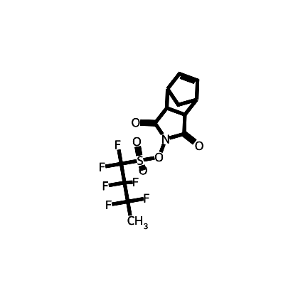 CC(F)(F)C(F)(F)C(F)(F)S(=O)(=O)ON1C(=O)C2C3C=CC(C3)C2C1=O